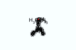 CC1(C)OB(c2ccc(-c3nc4cc(-c5ccc6ccccc6c5)ccc4c4c3ccc3oc(-c5ccccc5)nc34)cc2)OC1(C)C